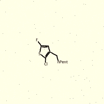 CCCCCCc1cc(F)sc1Cl